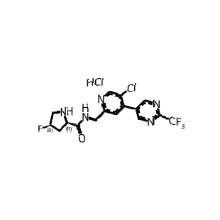 Cl.O=C(NCc1cc(-c2cnc(C(F)(F)F)nc2)c(Cl)cn1)[C@H]1C[C@@H](F)CN1